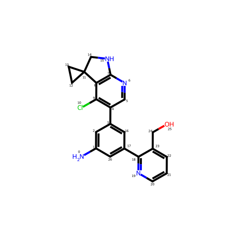 Nc1cc(-c2cnc3c(c2Cl)C2(CC2)CN3)cc(-c2ncccc2CO)c1